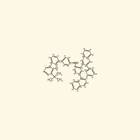 CC(C)(C)c1cccc2c1oc1c(-c3ccc(Nc4ccc(-c5cccc6ccccc56)cc4-c4cc5ccccc5cc4-c4ccccc4)cc3)cccc12